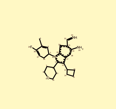 CC1=CC(n2c(C3CCOCC3)c(C3CCC3)c3cc(N)c(C=N)cc32)CC=C1F